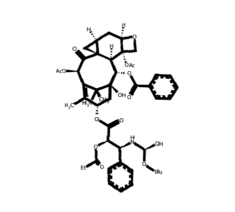 CCC(=O)O[C@@H](C(=O)O[C@H]1C[C@@]2(O)[C@@H](OC(=O)c3ccccc3)[C@@H]3[C@]4(OC(C)=O)CO[C@@H]4C[C@@H]4C[C@@]43C(=O)[C@H](OC(C)=O)C(=C1C)C2(C)C)[C@@H](N[C@@H](O)OC(C)(C)C)c1ccccc1